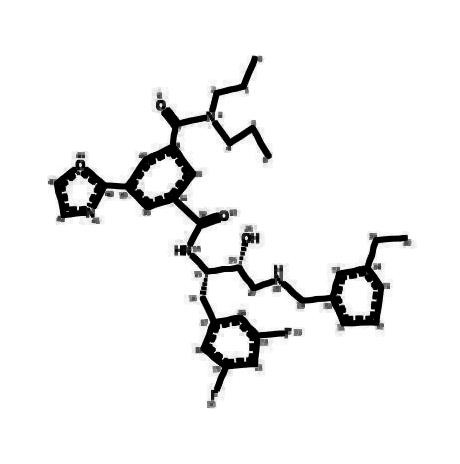 CCCN(CCC)C(=O)c1cc(C(=O)N[C@@H](Cc2cc(F)cc(F)c2)[C@H](O)CNCc2cccc(CC)c2)cc(-c2ncco2)c1